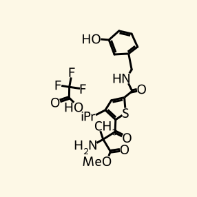 COC(=O)C(C)(N)C(=O)c1sc(C(=O)NCc2cccc(O)c2)cc1C(C)C.O=C(O)C(F)(F)F